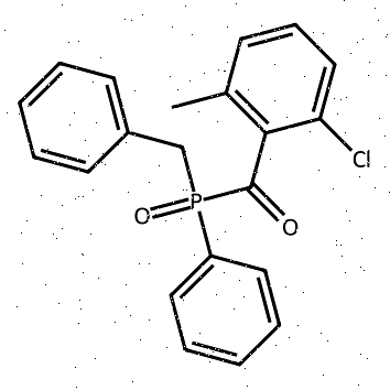 Cc1cccc(Cl)c1C(=O)P(=O)(Cc1ccccc1)c1ccccc1